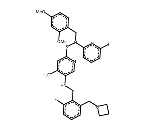 COc1ccc(CN(Sc2cc(C)c(NCc3c(F)cccc3CN3CCC3)cn2)c2cccc(F)n2)c(OC)c1